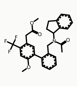 COC(=O)Cc1cc(-c2ccccc2CN(C(C)=O)C2CCc3ccccc32)c(OC)cc1C(F)(F)F